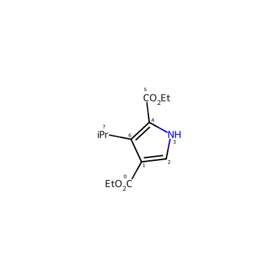 CCOC(=O)c1c[nH]c(C(=O)OCC)c1C(C)C